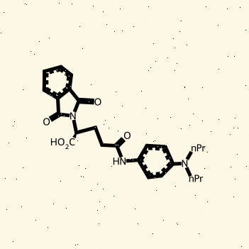 CCCN(CCC)c1ccc(NC(=O)CC[C@@H](C(=O)O)N2C(=O)c3ccccc3C2=O)cc1